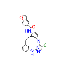 O=C(Nc1ccc2cc1CCC1C=CC=C(C1)Nc1ncc(Cl)c(n1)N2)c1ccc2occc2c1